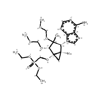 CCOP(=O)(CO[C@@]12C[C@@H]1[C@@H](n1cnc3c(N)ncnc31)C(C)(OCOC)[C@H]2OCOC)OCC